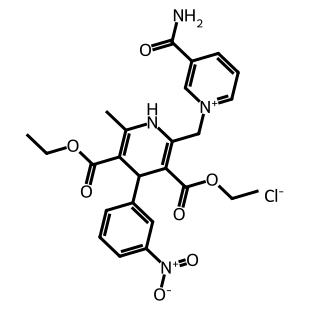 CCOC(=O)C1=C(C)NC(C[n+]2cccc(C(N)=O)c2)=C(C(=O)OCC)C1c1cccc([N+](=O)[O-])c1.[Cl-]